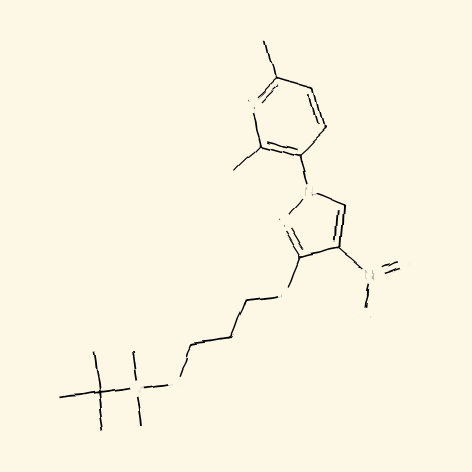 Cc1ccc(-n2cc([N+](=O)[O-])c(OCCCO[Si](C)(C)C(C)(C)C)n2)c(C)n1